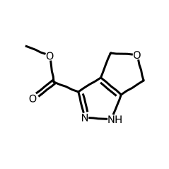 COC(=O)c1n[nH]c2c1COC2